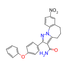 NC(=O)c1c(-c2ccc(Oc3ccccc3)cc2)nn2c1CCCc1cc([N+](=O)[O-])ccc1-2